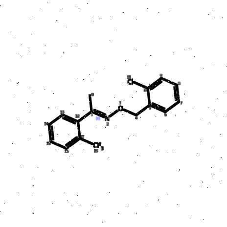 C/C(=N\OCc1ccccc1Cl)c1ccccc1C(F)(F)F